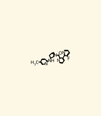 Cc1ccc(NC2CC3CC2N(C(=O)c2ncccc2-c2ncccc2F)C3)nc1